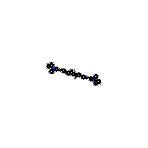 C=C1c2cc(-c3ccc(/C=C/c4ccc5c(c4)c4ccccc4n5-c4cccc5ccccc45)cc3)ccc2-c2cc3c(cc21)-c1ccc(-c2ccc(/C=C/c4ccc5c(c4)c4ccccc4n5-c4cccc5ccccc45)cc2)cc1C3(C)C